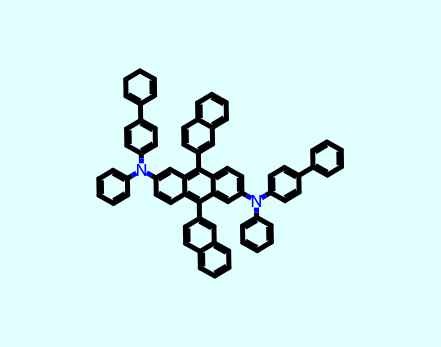 C1=CC(c2ccc(N(c3ccccc3)c3ccc4c(-c5ccc6ccccc6c5)c5cc(N(c6ccccc6)c6ccc(-c7ccccc7)cc6)ccc5c(-c5ccc6ccccc6c5)c4c3)cc2)=CCC1